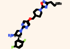 COCCc1noc(N2CCC(COc3cnc(N4C[C@H](c5cc(F)ccc5F)[C@@H](N)C4)nc3)CC2)n1